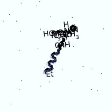 CC/C=C\C/C=C\C/C=C\C/C=C\C/C=C\C/C=C\CCC(=O)NCCSSC(C)(C)[C@@H](COC[C@@H](O)CO)NC(=O)c1cccnc1